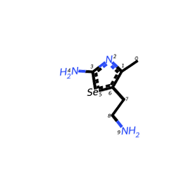 Cc1nc(N)[se]c1CCN